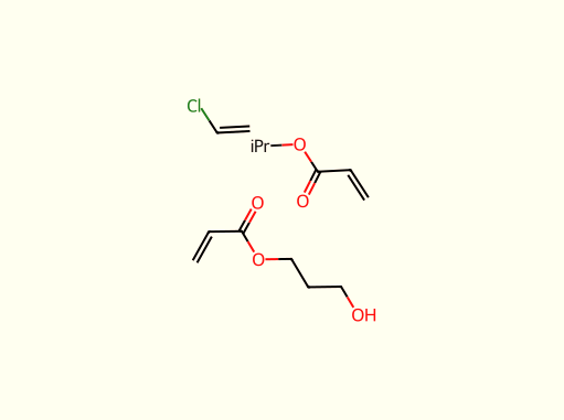 C=CC(=O)OC(C)C.C=CC(=O)OCCCO.C=CCl